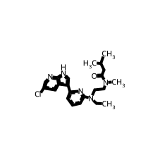 CCN(CCN(C)C(=O)CC(C)C)c1cccc(-c2c[nH]c3ncc(Cl)cc23)n1